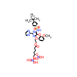 COc1ccccc1Oc1c(NS(=O)(=O)c2ccc(C(C)(C)C)cc2)nc(-c2ncccn2)nc1OCCOC(=O)CCCC(CON(O)O)ON(O)O